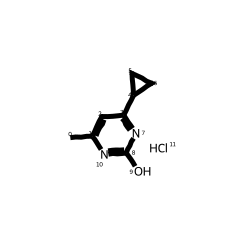 Cc1cc(C2CC2)nc(O)n1.Cl